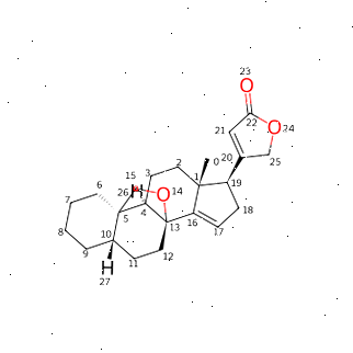 C[C@]12CC[C@@H]3[C@@]45CCCC[C@H]4CC[C@@]3(OC5)C1=CC[C@@H]2C1=CC(=O)OC1